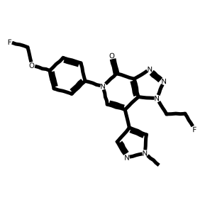 Cn1cc(-c2cn(-c3ccc(OCF)cc3)c(=O)c3nnn(CCF)c23)cn1